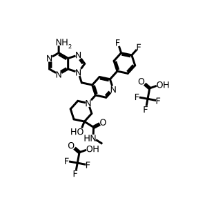 CNC(=O)C1(O)CCCN(c2cnc(-c3ccc(F)c(F)c3)cc2Cn2cnc3c(N)ncnc32)C1.O=C(O)C(F)(F)F.O=C(O)C(F)(F)F